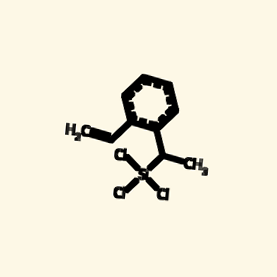 C=Cc1ccccc1C(C)[Si](Cl)(Cl)Cl